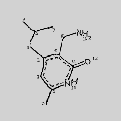 Cc1cc(CC(C)C)c(CN)c(=O)[nH]1